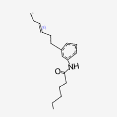 [CH2]C/C=C/CCc1cccc(NC(=O)CCCCC)c1